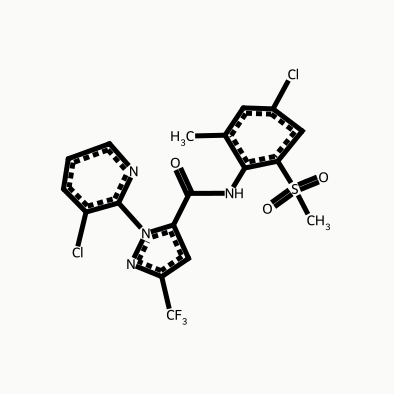 Cc1cc(Cl)cc(S(C)(=O)=O)c1NC(=O)c1cc(C(F)(F)F)nn1-c1ncccc1Cl